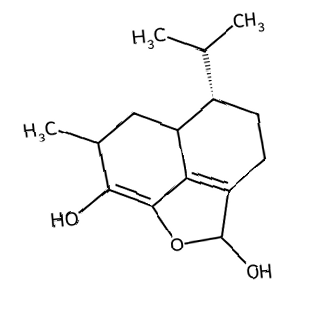 CC1CC2C3=C(CC[C@H]2C(C)C)C(O)OC3=C1O